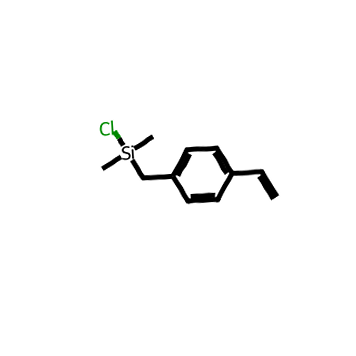 C=Cc1ccc(C[Si](C)(C)Cl)cc1